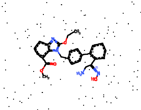 CCOc1nc2cccc(C(=O)OC)c2n1Cc1ccc(-c2ccccc2/C(CN)=N/O)cc1